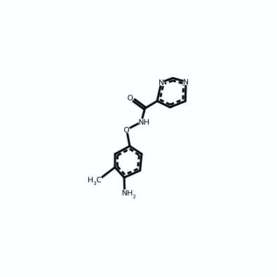 Cc1cc(ONC(=O)c2ccncn2)ccc1N